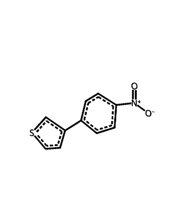 O=[N+]([O-])c1ccc(-c2ccsc2)cc1